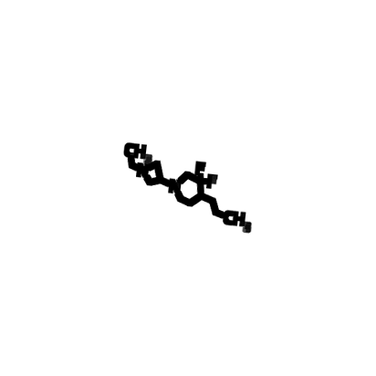 CCCC1CCN(C2CN(CC)C2)CC1(F)F